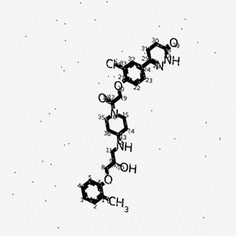 Cc1ccccc1OC[C@@H](O)CNC1CCN(C(=O)COc2ccc(C3=NNC(=O)CC3)cc2Cl)CC1